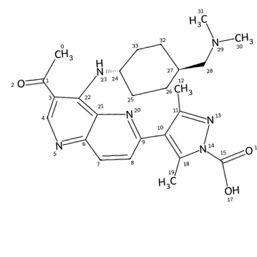 CC(=O)c1cnc2ccc(-c3c(C)nn(C(=O)O)c3C)nc2c1N[C@H]1CC[C@H](CN(C)C)CC1